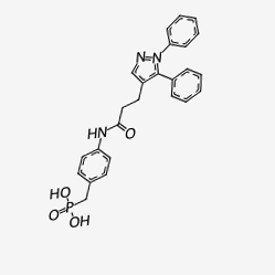 O=C(CCc1cnn(-c2ccccc2)c1-c1ccccc1)Nc1ccc(CP(=O)(O)O)cc1